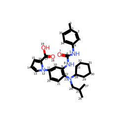 Cc1ccc(NC(=O)Nc2cc(-n3cccc3C(=O)O)ccc2N(CC(C)C)C2CCCCC2)cc1